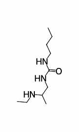 CCCCNC(=O)NCC(C)NCC